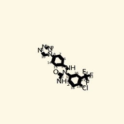 NC(=O)N(Nc1ccc(-n2cnnn2)cc1)c1ccc(Cl)c(C(F)(F)F)c1